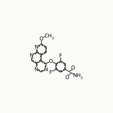 COc1ccc2c(ncc3ncnc(Oc4c(F)cc(S(N)(=O)=O)cc4F)c32)n1